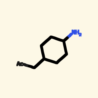 CC(=O)CC1CCC(N)CC1